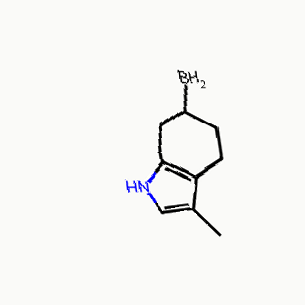 BC1CCc2c(C)c[nH]c2C1